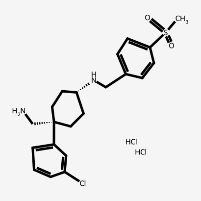 CS(=O)(=O)c1ccc(CN[C@H]2CC[C@](CN)(c3cccc(Cl)c3)CC2)cc1.Cl.Cl